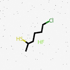 CC(S)CCCCCl.F